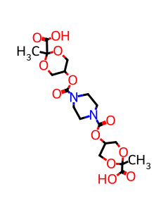 CC1(C(=O)O)OCC(OC(=O)N2CCN(C(=O)OC3COC(C)(C(=O)O)OC3)CC2)CO1